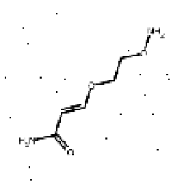 NOCCOC=CC(N)=O